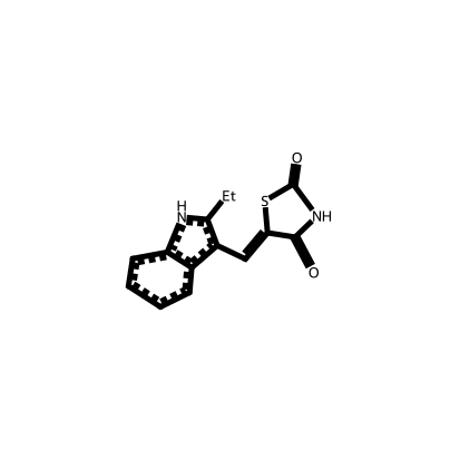 CCc1[nH]c2ccccc2c1/C=C1\SC(=O)NC1=O